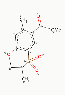 COC(=O)c1cc2c(cc1C)OCC(C)S2(=O)=O